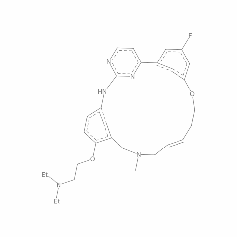 CCN(CC)CCOc1ccc2cc1CN(C)C/C=C/CCOc1cc(F)cc(c1)-c1ccnc(n1)N2